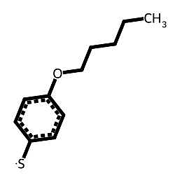 CCCCCOc1ccc([S])cc1